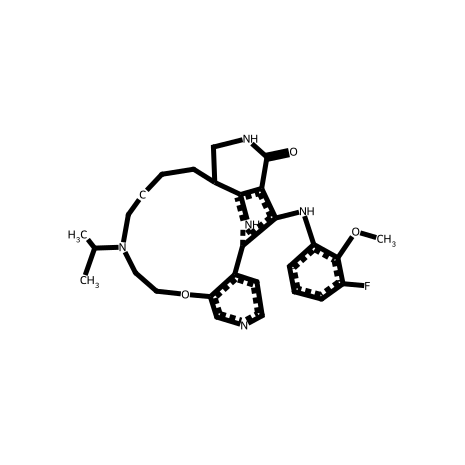 COc1c(F)cccc1Nc1c2[nH]c3c1C(=O)NCC3CCCCN(C(C)C)CCOc1cnccc1-2